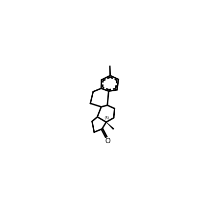 Cc1ccc2c(c1)CCC1C2CC[C@]2(C)C(=O)CCC12